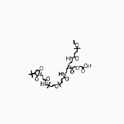 CCOC(C)(C)CCC(=O)NCCN(CCNC(=O)CCC(C)(C)OCCC(C)(C)NC(=O)CCN1C(=O)CC(C(C)(C)C)C1=O)C(=O)COCC(=O)O